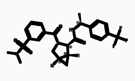 C[C@@H](NC(=O)[C@H]1[C@@H]2C[C@@H]2CN1C(=O)c1cccc(S(=O)(=O)N(C)C)c1)c1ccc(C(F)(F)F)cc1